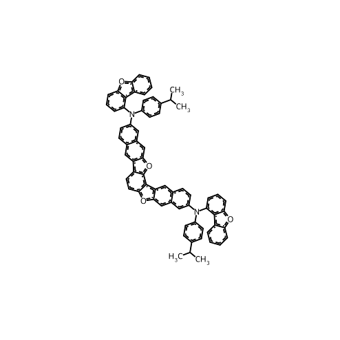 CC(C)c1ccc(N(c2ccc3cc4c(cc3c2)oc2c4ccc3oc4cc5cc(N(c6ccc(C(C)C)cc6)c6cccc7oc8ccccc8c67)ccc5cc4c32)c2cccc3oc4ccccc4c23)cc1